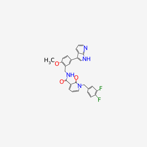 COc1ccc(-c2c[nH]c3ncccc23)cc1CNC(=O)c1cccn(Cc2ccc(F)c(F)c2)c1=O